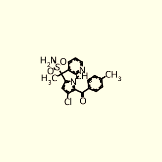 Cc1ccc(C(=O)c2c(Cl)cc(C(C)(c3cccnc3)S(N)(=O)=O)n2C)cc1